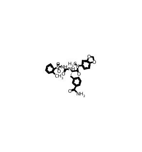 Cc1ccccc1S(=O)(=O)NC(=O)N[C@@H](Cc1cccc(C(N)=O)c1)C(=O)N(C)c1ccc2c(c1)OCO2